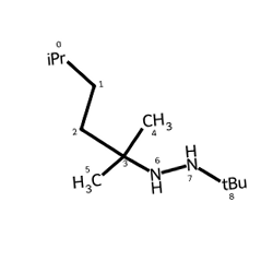 CC(C)CCC(C)(C)NNC(C)(C)C